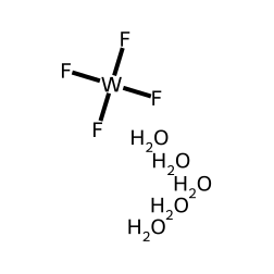 O.O.O.O.O.[F][W]([F])([F])[F]